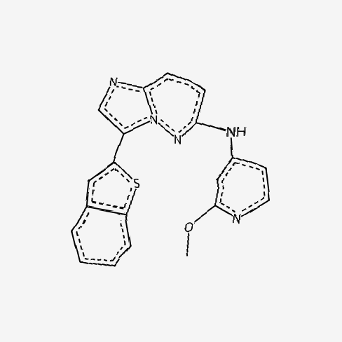 COc1cc(Nc2ccc3ncc(-c4cc5ccccc5s4)n3n2)ccn1